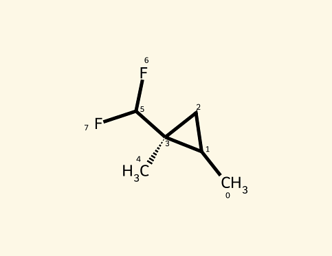 CC1C[C@]1(C)C(F)F